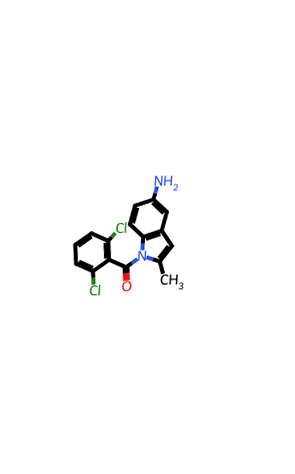 Cc1cc2cc(N)ccc2n1C(=O)c1c(Cl)cccc1Cl